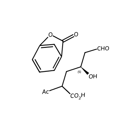 CC(=O)C(C[C@H](O)CC=O)C(=O)O.O=C1Oc2cccc1c2